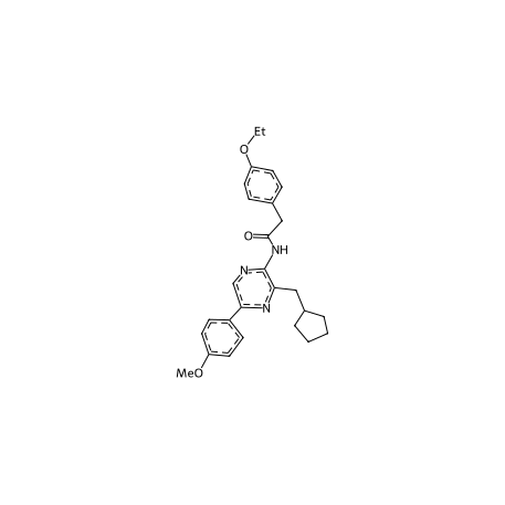 CCOc1ccc(CC(=O)Nc2ncc(-c3ccc(OC)cc3)nc2CC2CCCC2)cc1